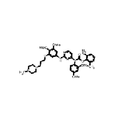 COc1ccc(N(C(=O)Oc2c(C)cccc2C)c2ccnc(Nc3cc(OC)c(OC)c(OCCCN4CCN(C)CC4)c3)n2)c(OC)c1